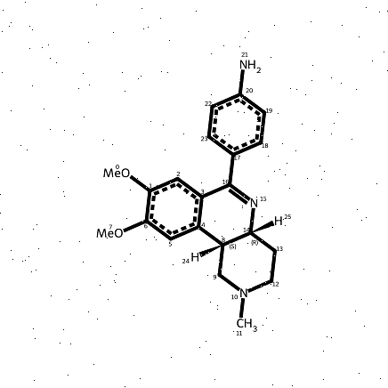 COc1cc2c(cc1OC)[C@H]1CN(C)CC[C@H]1N=C2c1ccc(N)cc1